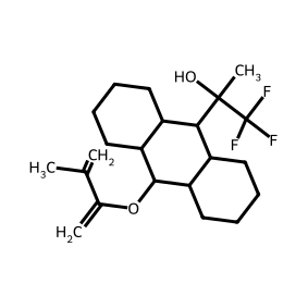 C=C(C)C(=C)OC1C2CCCCC2C(C(C)(O)C(F)(F)F)C2CCCCC21